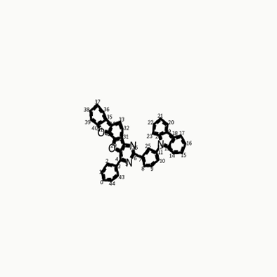 c1ccc(-c2nc(-c3cccc(-n4c5ccccc5c5ccccc54)c3)nc3c2oc2c3ccc3c4ccccc4oc32)cc1